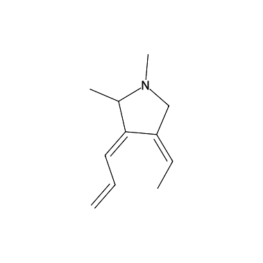 C=C/C=C1\C(=C/C)CN(C)C1C